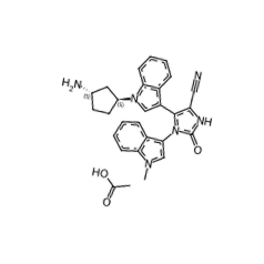 CC(=O)O.Cn1cc(-n2c(-c3cn([C@H]4CC[C@H](N)C4)c4ccccc34)c(C#N)[nH]c2=O)c2ccccc21